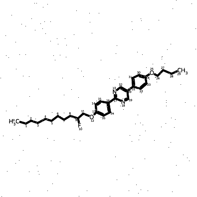 CCCCCCCCCC(F)COc1ccc(-c2ncc(-c3ccc(OCCCC)cc3)cn2)cc1